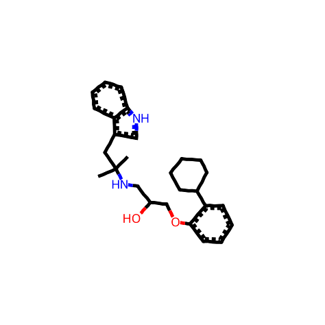 CC(C)(Cc1c[nH]c2ccccc12)NCC(O)COc1ccccc1C1CCCCC1